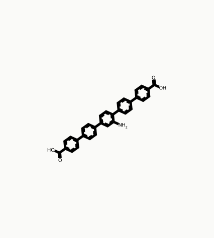 Nc1cc(-c2ccc(-c3ccc(C(=O)O)cc3)cc2)ccc1-c1ccc(-c2ccc(C(=O)O)cc2)cc1